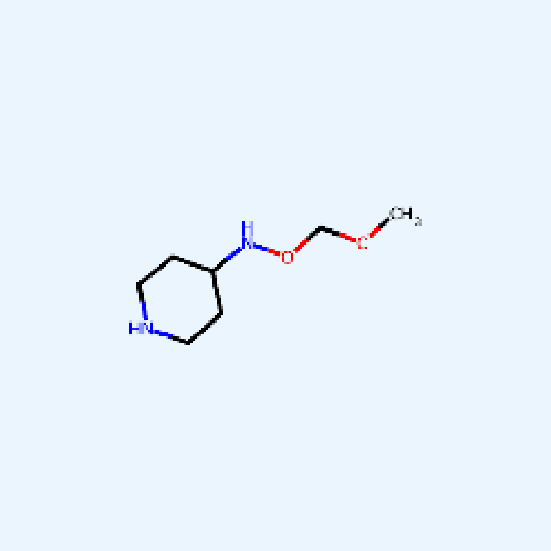 COCONC1CCNCC1